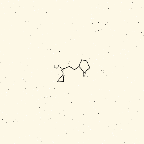 CN(CCC1CCCN1)C1CC1